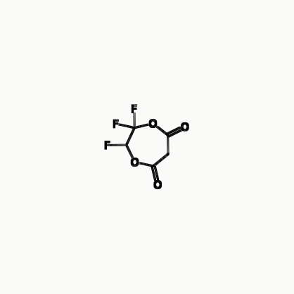 O=C1CC(=O)OC(F)(F)C(F)O1